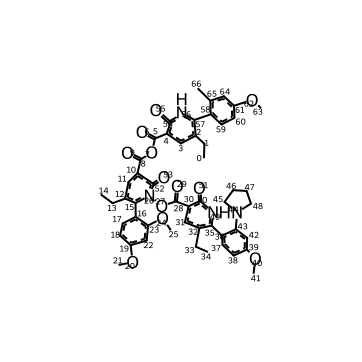 CCc1cc(C(=O)OC(=O)c2cc(CC)c(-c3ccc(OC)cc3OC)n(OC(=O)c3cc(CC)c(-c4ccc(OC)cc4N4CCCC4)[nH]c3=O)c2=O)c(=O)[nH]c1-c1ccc(OC)cc1C